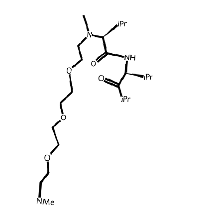 CNCCOCCOCCOCCN(C)[C@H](C(=O)N[C@H](C(=O)C(C)C)C(C)C)C(C)C